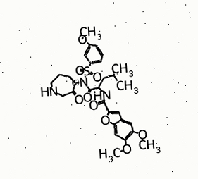 COc1cccc(S(=O)(=O)N(C(=O)C(CC(C)C)NC(=O)c2cc3cc(OC)c(OC)cc3o2)[C@H]2CCCNCC2=O)c1